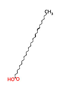 CCCCCCCC=CCC=CCCCCCCCCCCCCCCCCCC(=O)O